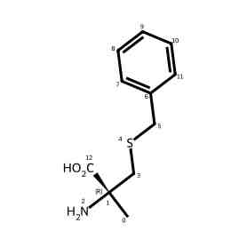 C[C@](N)(CSCc1ccccc1)C(=O)O